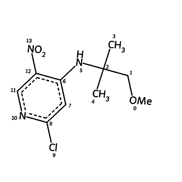 COCC(C)(C)Nc1cc(Cl)ncc1[N+](=O)[O-]